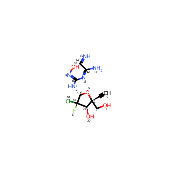 C#C[C@]1(CO)O[C@@H](NC(=N/O)/N=C(/N)C=N)[C@@](F)(Cl)[C@@H]1O